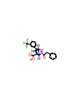 COC(=O)N1[C@H](c2cccc(C(F)(F)F)c2)[C@@H]2C=C[C@H]1N(C(=O)Cc1ccccc1)O2